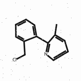 Cc1cccnc1-c1ccccc1CCl